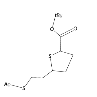 CC(=O)SCCC1CCC(C(=O)OC(C)(C)C)S1